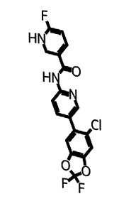 O=C(Nc1ccc(-c2cc3c(cc2Cl)OC(F)(F)O3)cn1)C1=CC=C(F)NC1